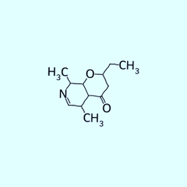 CCC1CC(=O)C2C(C)C=NC(C)C2O1